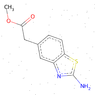 COC(=O)Cc1ccc2sc(N)nc2c1